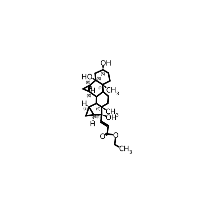 CCOC(=O)C=C[C@]1(O)[C@H]2C[C@H]2C2C3C(CC[C@@]21C)[C@@]1(C)CC[C@H](O)C[C@@]1(O)[C@@H]1C[C@H]31